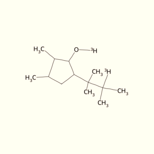 [3H]OC1C(C)C(C)CC1C(C)(C)C([3H])(C)C